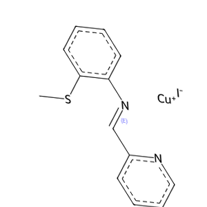 CSc1ccccc1/N=C/c1ccccn1.[Cu+].[I-]